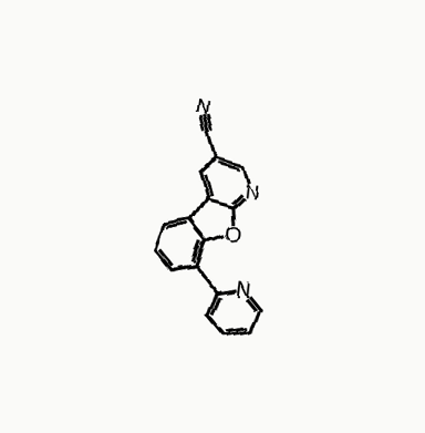 N#Cc1cnc2oc3c(-c4ccccn4)cccc3c2c1